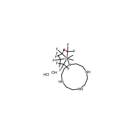 Cl.Cl.[CH3][Ti]([CH3])([N]1CCNCCNCCNCC1)([C](F)(F)F)([C](F)(F)F)([C](F)(F)F)[C](F)(F)F